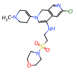 CN1CC=C(N2C=C(NCCS(=O)(=O)N3CCOCC3)c3cc(Cl)ncc3C2)CC1